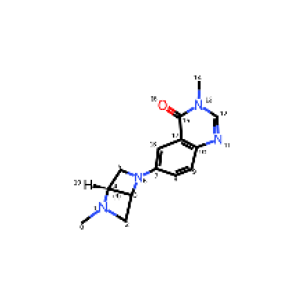 CN1CC2[C@H]1CN2c1ccc2ncn(C)c(=O)c2c1